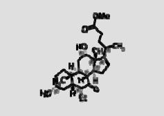 CC[C@H]1C(=O)[C@@H]2[C@H](C[C@H](O)[C@]3(C)[C@@H]([C@H](C)CCC(=O)OC)CC[C@@H]23)[C@@]2(C)CC[C@@H](O)C[C@@H]12